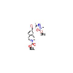 C/C(CC(=O)c1ccc2c(c1)CCN(C(=O)OC(C)(C)C)CC2)=N/N(C)C(=O)OC(C)(C)C